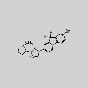 CN1CCCC1C1=NC(c2ccc3c(c2)C(F)(F)c2cc(Br)ccc2-3)CN1